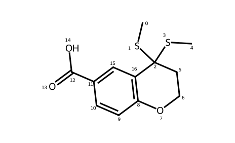 CSC1(SC)CCOc2ccc(C(=O)O)cc21